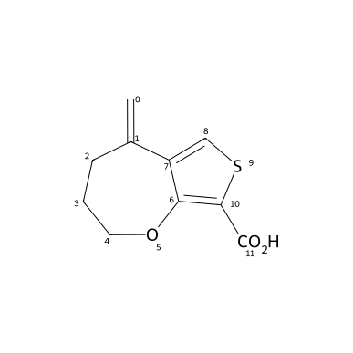 C=C1CCCOc2c1csc2C(=O)O